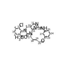 Cc1cccc(Cl)c1N1Cc2cnc3nc2N(C/C=C/COc2cccc(c2)N3)C1O